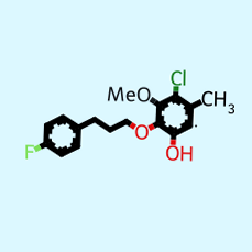 COc1c(Cl)c(C)[c]c(O)c1OCCCc1ccc(F)cc1